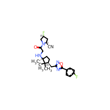 CC1(C)[C@H](Cc2noc(-c3ccc(F)cc3)n2)CC[C@]1(C)NCC(=O)N1C[C@@H](F)C[C@H]1C#N